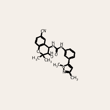 Cc1cc(-c2cccc(NC(=O)NC3c4cc(C#N)ccc4OC(C)(C)C3O)c2)n(C)n1